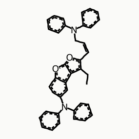 CCc1c(/C=C\CN(c2ccccc2)c2ccccc2)oc2oc3ccc(N(c4ccccc4)c4ccccc4)cc3c12